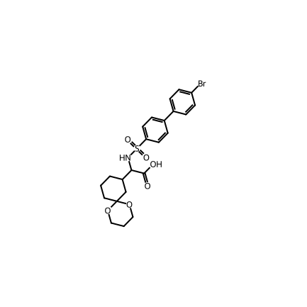 O=C(O)C(NS(=O)(=O)c1ccc(-c2ccc(Br)cc2)cc1)C1CCCC2(C1)OCCCO2